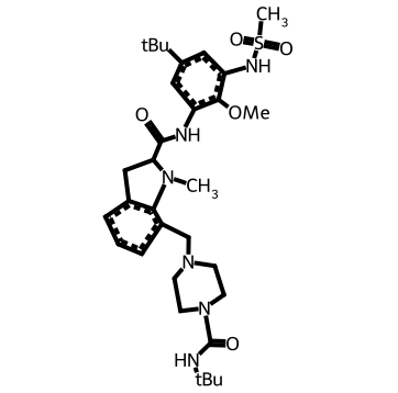 COc1c(NC(=O)C2Cc3cccc(CN4CCN(C(=O)NC(C)(C)C)CC4)c3N2C)cc(C(C)(C)C)cc1NS(C)(=O)=O